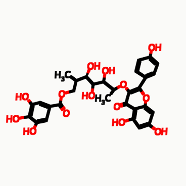 CC(Oc1c(-c2ccc(O)cc2)oc2cc(O)cc(O)c2c1=O)C(O)C(O)[C@H](O)C(C)COC(=O)c1cc(O)c(O)c(O)c1